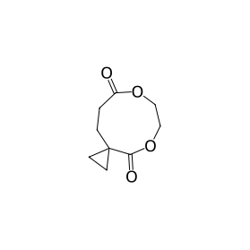 O=C1CCC2(CC2)C(=O)OCCO1